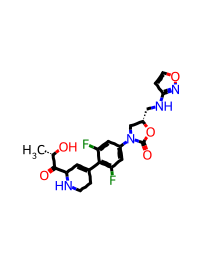 C[C@H](O)C(=O)C1C=C(c2c(F)cc(N3C[C@H](CNc4ccon4)OC3=O)cc2F)CCN1